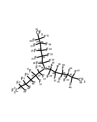 FC(F)(F)C(F)(F)C(F)(F)C(F)(F)C(F)(F)C(F)(F)N(C(F)(F)C(F)(F)C(F)(F)C(F)(F)C(F)(F)C(F)(F)F)C(F)(F)C(F)(F)C(F)(F)C(F)(F)C(F)(F)C(F)(F)F